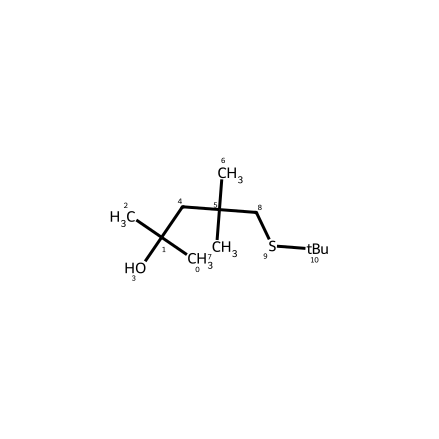 CC(C)(O)CC(C)(C)CSC(C)(C)C